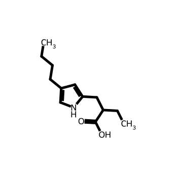 CCCCc1c[nH]c(CC(CC)C(=O)O)c1